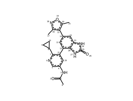 CC(=O)Nc1cnc(C2CC2)c(-c2cc(-c3c(C)noc3C)cc3[nH]c(=O)[nH]c23)c1